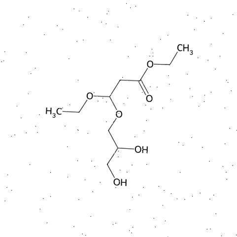 CCOC(=O)CC(OCC)OCC(O)CO